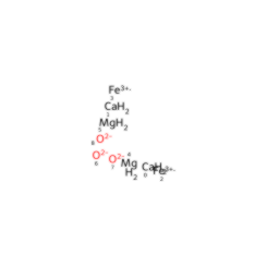 [CaH2].[CaH2].[Fe+3].[Fe+3].[MgH2].[MgH2].[O-2].[O-2].[O-2]